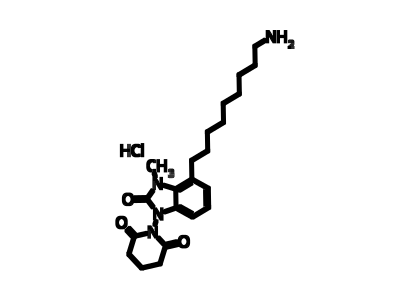 Cl.Cn1c(=O)n(N2C(=O)CCCC2=O)c2cccc(CCCCCCCCCN)c21